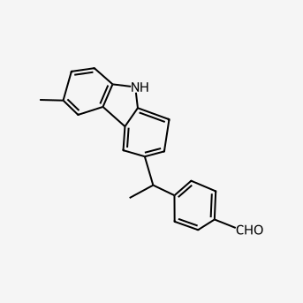 Cc1ccc2[nH]c3ccc(C(C)c4ccc(C=O)cc4)cc3c2c1